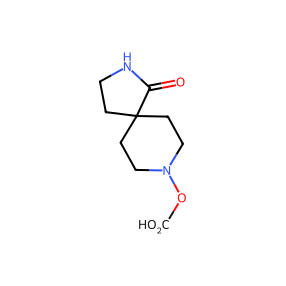 O=C(O)ON1CCC2(CCNC2=O)CC1